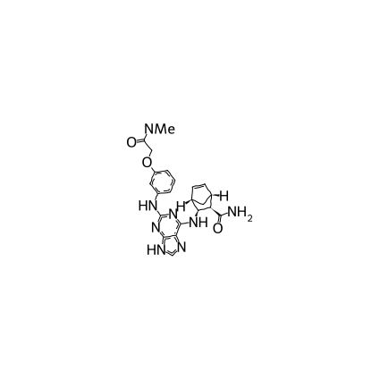 CNC(=O)COc1cccc(Nc2nc(N[C@@H]3[C@H](C(N)=O)[C@H]4C=C[C@@H]3C4)c3nc[nH]c3n2)c1